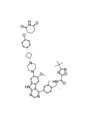 COc1cc2c(cc1N1CCN([C@H]3C[C@@H](c4ccc(O[C@H]5CCC(=O)NC5=O)cc4)C3)CC1)[nH]c1ncnc(-c3ccc([C@@H](C)NC(=O)c4nc(C(C)(C)C)no4)c(C)c3)c12